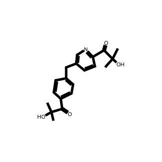 CC(C)(O)C(=O)c1ccc(Cc2ccc(C(=O)C(C)(C)O)nc2)cc1